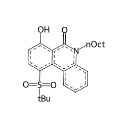 CCCCCCCCn1c(=O)c2c(O)ccc(S(=O)(=O)C(C)(C)C)c2c2ccccc21